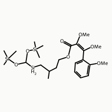 COC(C(=O)OCCC(C)C[SiH2]C(O[Si](C)(C)C)O[Si](C)(C)C)=C(OC)c1ccccc1OC